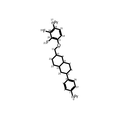 CCCc1ccc(C2CCC3CC(COc4ccc(CCC)c(F)c4F)CCC3C2)cc1